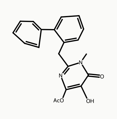 CC(=O)Oc1nc(Cc2ccccc2-c2ccccc2)n(C)c(=O)c1O